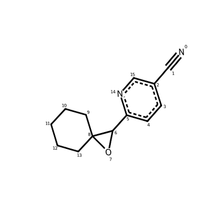 N#Cc1ccc(C2OC23CCCCC3)nc1